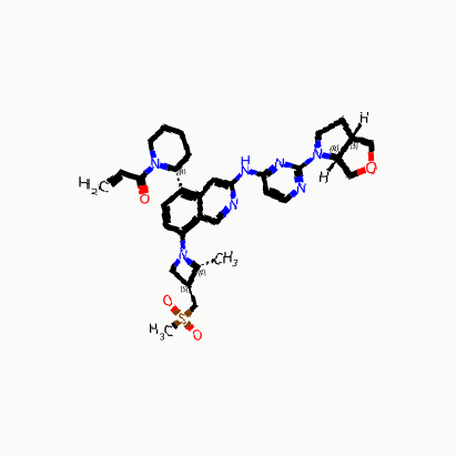 C=CC(=O)N1CCCC[C@@H]1c1ccc(N2C[C@H](CS(C)(=O)=O)[C@H]2C)c2cnc(Nc3ccnc(N4CC[C@@H]5COC[C@@H]54)n3)cc12